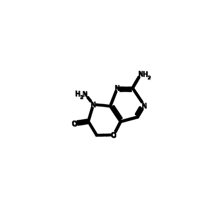 Nc1ncc2c(n1)N(N)C(=O)CO2